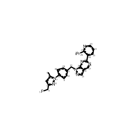 Cc1cc(CF)nn1-c1ccc(Cn2ncc3cnc(-c4cccnc4C(C)C)nc32)cc1